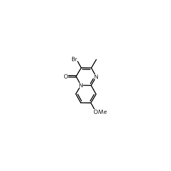 COc1ccn2c(=O)c(Br)c(C)nc2c1